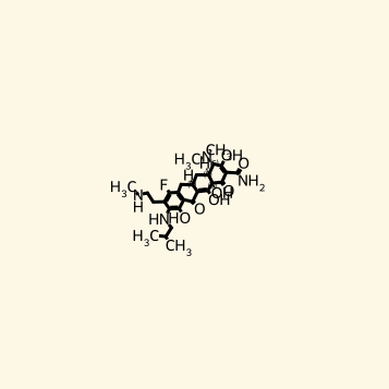 CNCCc1c(F)c2c(c(O)c1NCC(C)C)C(=O)C1=C(O)[C@]3(O)C(=O)C(C(N)=O)=C(O)[C@@H](N(C)C)[C@@H]3C[C@@H]1C2